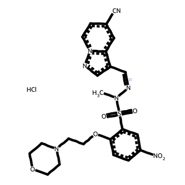 CN(/N=C\c1cnn2ccc(C#N)cc12)S(=O)(=O)c1cc([N+](=O)[O-])ccc1OCCN1CCOCC1.Cl